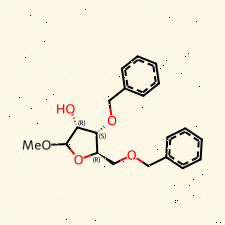 COC1O[C@H](COCc2ccccc2)[C@@H](OCc2ccccc2)[C@H]1O